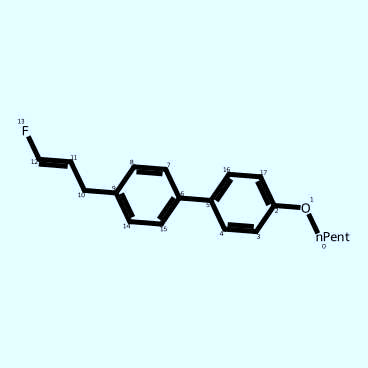 CCCCCOc1ccc(-c2ccc(C/C=C/F)cc2)cc1